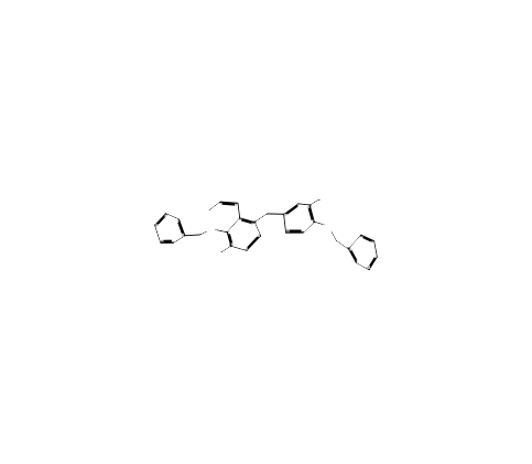 C/C=C\c1c(Cc2ccc(OCc3ccccc3)c(F)c2)ccc(F)c1OCc1ccccc1